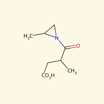 CC(CC(=O)O)C(=O)N1CC1C